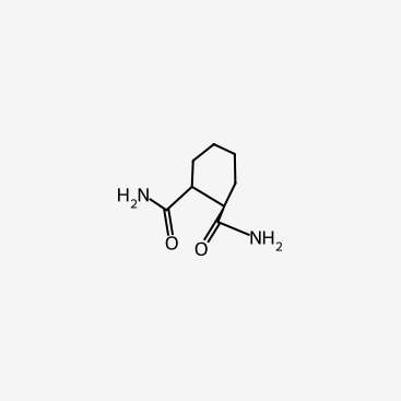 NC(=O)C1CCCCC1C(N)=O